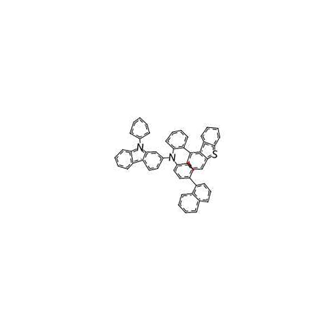 c1ccc(-n2c3ccccc3c3ccc(N(c4ccc(-c5cccc6ccccc56)cc4)c4ccccc4-c4cccc5sc6ccccc6c45)cc32)cc1